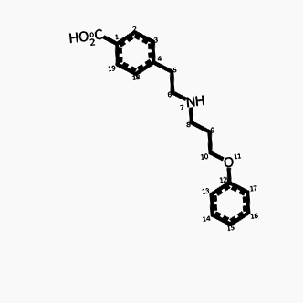 O=C(O)c1ccc(CCNCCCOc2ccccc2)cc1